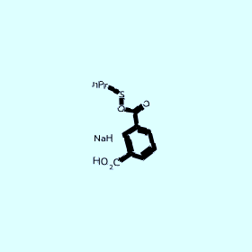 CCCSOC(=O)c1cccc(C(=O)O)c1.[NaH]